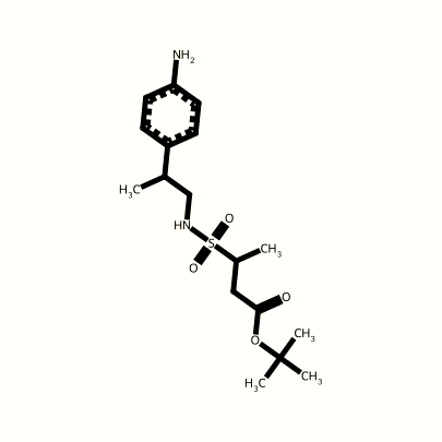 CC(CNS(=O)(=O)C(C)CC(=O)OC(C)(C)C)c1ccc(N)cc1